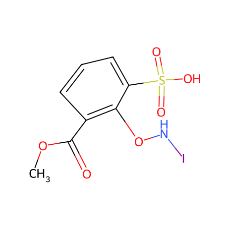 COC(=O)c1cccc(S(=O)(=O)O)c1ONI